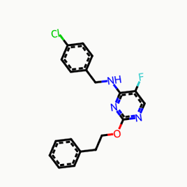 Fc1cnc(OCCc2ccccc2)nc1NCc1ccc(Cl)cc1